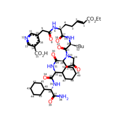 CCOC(=O)/C=C/CC[C@H](NC(=O)Cc1cncc(C(=O)O)c1)C(=O)N[C@H](C(=O)N1CC(=O)C[C@H]1C(=O)N[C@H](C(=O)N[C@H](C(N)=O)C1CCCCC1)C1CCCCC1)C(C)(C)C